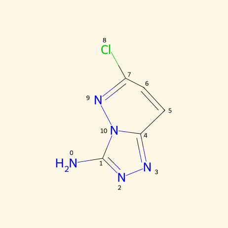 Nc1nnc2ccc(Cl)nn12